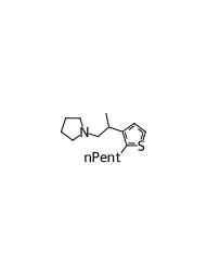 CCCCCc1sccc1C(C)CN1CCCC1